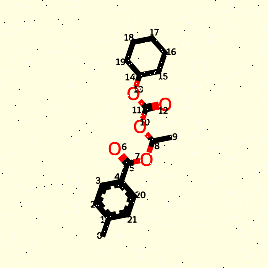 Cc1ccc(C(=O)OC(C)OC(=O)OC2CCCCC2)cc1